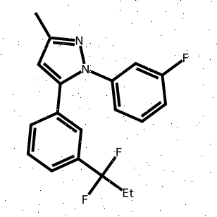 CCC(F)(F)c1cccc(-c2cc(C)nn2-c2cccc(F)c2)c1